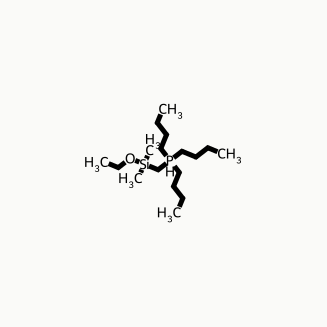 CCCC[PH](CCCC)(CCCC)C[Si](C)(C)OCC